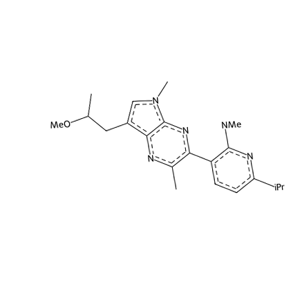 CNc1nc(C(C)C)ccc1-c1nc2c(nc1C)c(CC(C)OC)cn2C